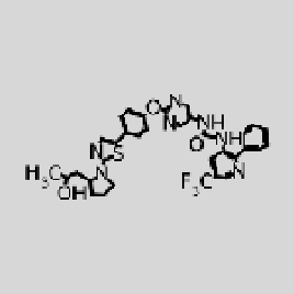 CC(O)CC1CCCN1c1ncc(-c2ccc(Oc3ncc(NC(=O)Nc4cc(C(F)(F)F)cnc4-c4ccccc4)cn3)cc2)s1